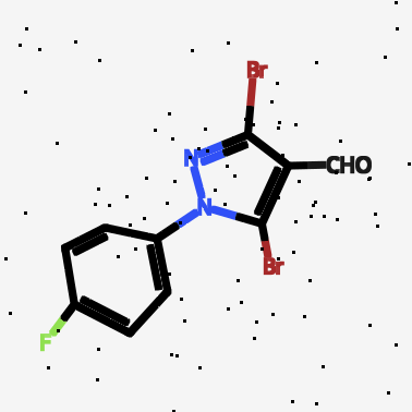 O=Cc1c(Br)nn(-c2ccc(F)cc2)c1Br